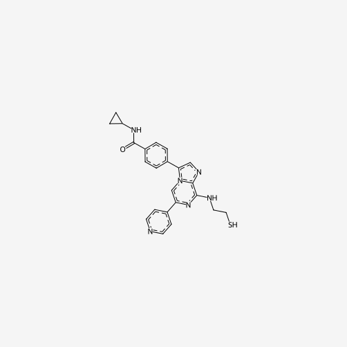 O=C(NC1CC1)c1ccc(-c2cnc3c(NCCS)nc(-c4ccncc4)cn23)cc1